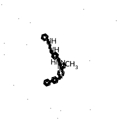 Cc1cc(N2CCN(Cc3ccc(-c4ccccc4)cc3)CC2)nc(NCc2ccc(CNCCCNC3CCCCC3)cc2)n1